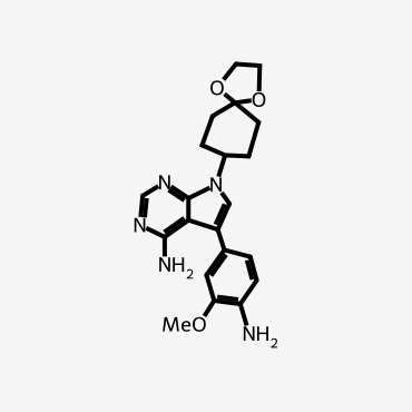 COc1cc(-c2cn(C3CCC4(CC3)OCCO4)c3ncnc(N)c23)ccc1N